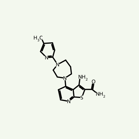 Cc1ccc(N2CCCN(c3ccnc4sc(C(N)=O)c(N)c34)CC2)nc1